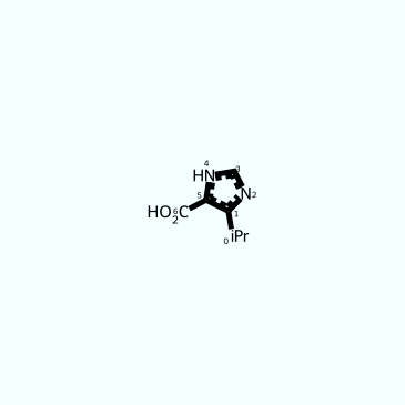 CC(C)c1nc[nH]c1C(=O)O